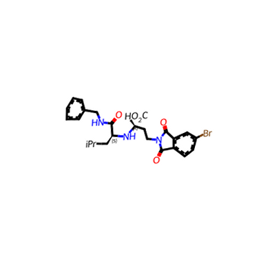 CC(C)C[C@H](N[C@H](CCN1C(=O)c2ccc(Br)cc2C1=O)C(=O)O)C(=O)NCc1ccccc1